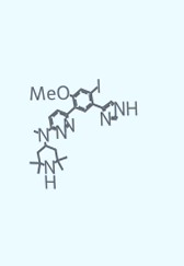 COc1cc(I)c(-c2c[nH]cn2)cc1-c1ccc(N(C)C2CC(C)(C)NC(C)(C)C2)nn1